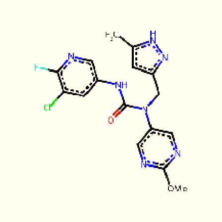 COc1ncc(N(Cc2cc(C(F)(F)F)[nH]n2)C(=O)Nc2cnc(F)c(Cl)c2)cn1